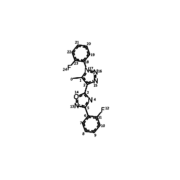 Cc1c(-c2nc(-c3ccccc3F)no2)nnn1-c1ccccc1F